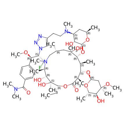 CC[C@H]1OC(=O)[C@H](C)[C@@H](O[C@H]2C[C@@](C)(OC)[C@@H](O)[C@H](C)O2)[C@H](C)[C@@H](O[C@@H]2O[C@H](C)C[C@H](N(C)CCc3cn([C@H](CF)[C@H](OC)c4ccc(C(=O)N(C)C)cc4)nn3)[C@H]2O)[C@](C)(O)C[C@@H](C)CN(C)[C@H](C)[C@@H](O)[C@]1(C)O